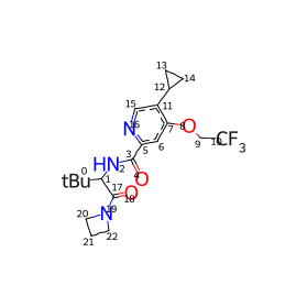 CC(C)(C)C(NC(=O)c1cc(OCC(F)(F)F)c(C2CC2)cn1)C(=O)N1CCC1